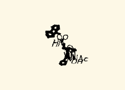 CC(=O)NC(Cc1ccccc1)C(CCNC(=O)OCC1c2ccccc2-c2ccccc21)OC(C)NCO